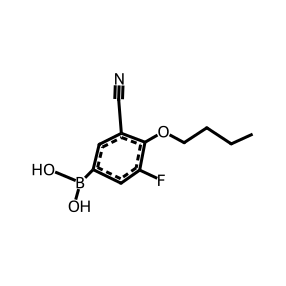 CCCCOc1c(F)cc(B(O)O)cc1C#N